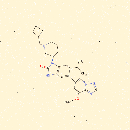 COc1cc(-c2cc3[nH]c(=O)n([C@@H]4CCCN(CC5CCC5)C4)c3cc2C(C)C)cn2ncnc12